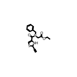 C#CC1NC(C(=O)N(CC(=O)OCC)Cc2ccccc2)=CS1